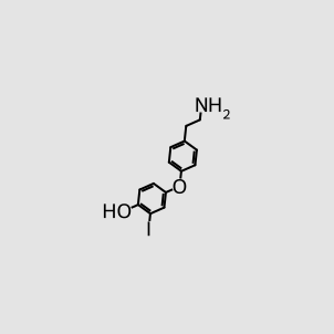 NCCc1ccc(Oc2ccc(O)c(I)c2)cc1